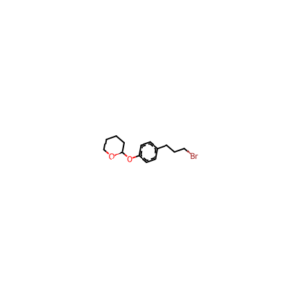 BrCCCc1ccc(OC2CCCCO2)cc1